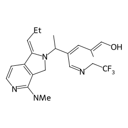 CC/C=C1/c2ccnc(NC)c2CN1C(C)C(/C=N\CC(F)(F)F)=C/C(C)=C/O